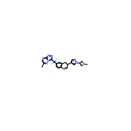 Cc1cnc2nnc(C(F)(F)c3ccc4c(c3)CC(c3cnn(C5CN(C)C5)c3)C=N4)n2n1